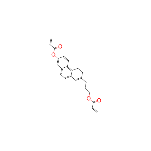 C=CC(=O)OCCCC1=Cc2ccc3cc(OC(=O)C=C)ccc3c2CC1